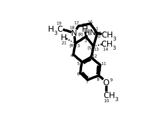 CN[C@H]1[C@H]2Cc3ccc(OC)cc3[C@]1(C)CCCN2C